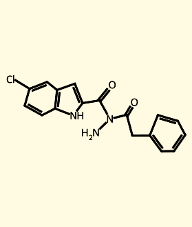 NN(C(=O)Cc1ccccc1)C(=O)c1cc2cc(Cl)ccc2[nH]1